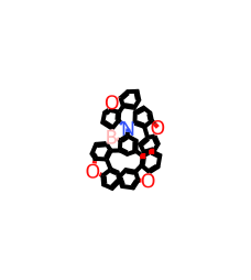 c1ccc2c(c1)oc1cccc(-c3cc4c5c(c3)N(c3cccc6oc7ccccc7c36)c3c(ccc6oc7ccccc7c36)B5c3ccc5oc6ccccc6c5c3-4)c12